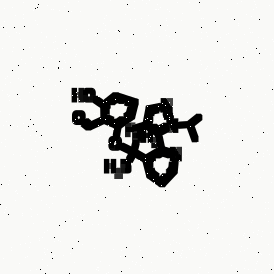 BC(B)(Oc1cccc(O)c1C=O)c1cccnc1-c1c(F)cnn1C(C)C